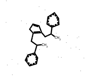 CC(CC1=C(CC(C)c2ccccc2)CC=C1)c1ccccc1